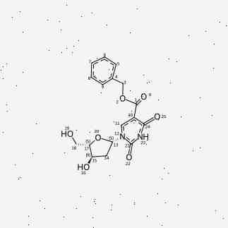 O=C(OCc1ccccc1)c1cn([C@@H]2C[C@@H](O)[C@H](CO)O2)c(=O)[nH]c1=O